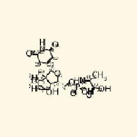 [2H][13C]([2H])([2H])[C@@]1(F)[C@H](O)[C@@H](COP(=O)(O)N[C@@H](C)C(=O)O)O[C@H]1C1=CC(=O)NC(=O)C1